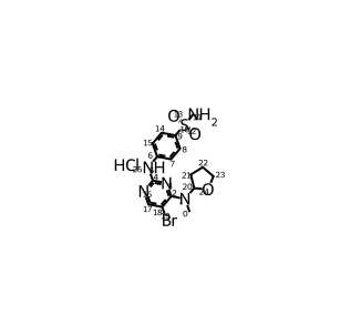 CN(c1nc(Nc2ccc(S(N)(=O)=O)cc2)ncc1Br)C1CCCO1.Cl